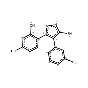 Oc1ccc(-n2nnc(S)c2-c2cccc(F)c2)c(O)c1